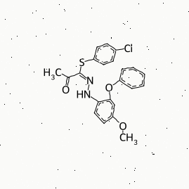 COc1ccc(N/N=C(/Sc2ccc(Cl)cc2)C(C)=O)c(Oc2ccccc2)c1